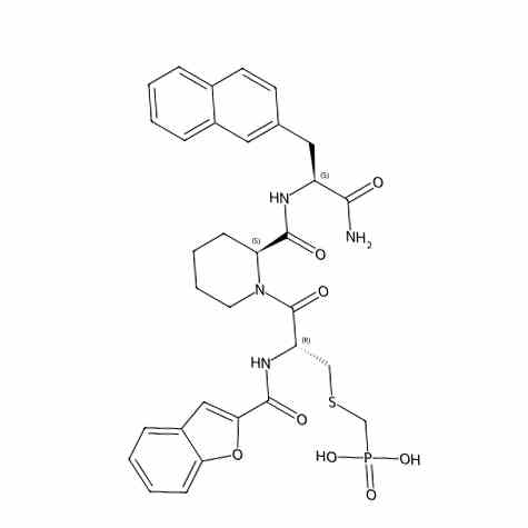 NC(=O)[C@H](Cc1ccc2ccccc2c1)NC(=O)[C@@H]1CCCCN1C(=O)[C@H](CSCP(=O)(O)O)NC(=O)c1cc2ccccc2o1